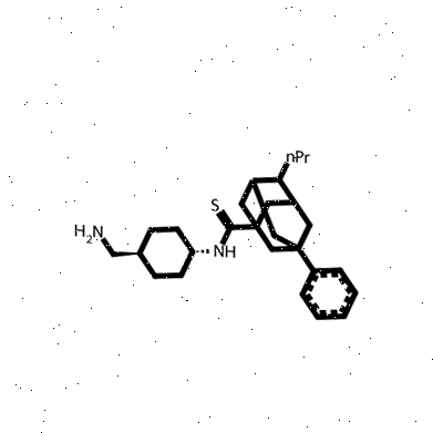 CCCC1C2CC3(C(=S)N[C@H]4CC[C@H](CN)CC4)CC1CC(c1ccccc1)(C2)C3